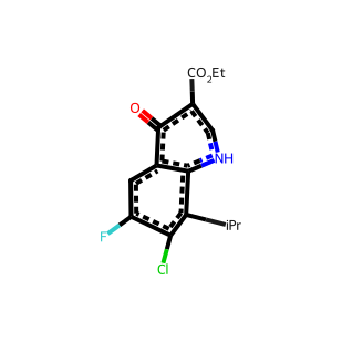 CCOC(=O)c1c[nH]c2c(C(C)C)c(Cl)c(F)cc2c1=O